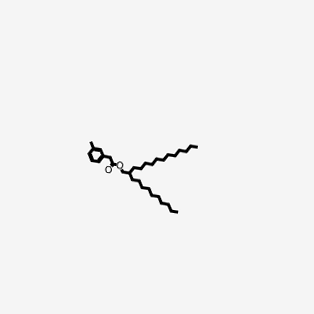 CCCCCCCCCCCCC(CCCCCCCCCC)COC(=O)Cc1cccc(C)c1